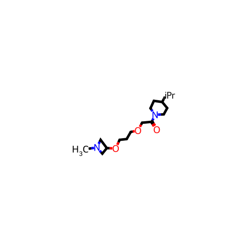 CC(C)C1CCN(C(=O)COCCCOC2CN(C)C2)CC1